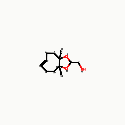 OCC1O[C@H]2CC/C=C/CC[C@H]2O1